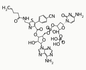 C=CCCC(=O)NCc1nc(C(=O)OC2[C@@H](COP(=O)(O)OC3C[C@H](n4ccc(N)nc4=O)O[C@@H]3COP(=O)(O)O)O[C@@H](n3cnc4c(N)ncnc43)[C@H]2O)c(-c2ccc(C#N)cc2)s1